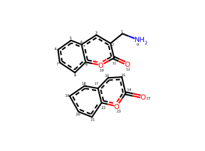 NCc1cc2ccccc2oc1=O.O=c1ccc2ccccc2o1